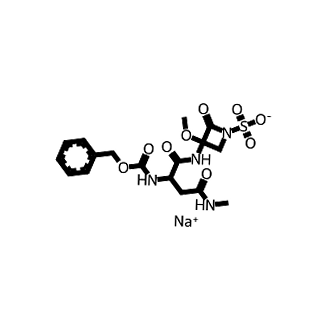 CNC(=O)CC(NC(=O)OCc1ccccc1)C(=O)NC1(OC)CN(S(=O)(=O)[O-])C1=O.[Na+]